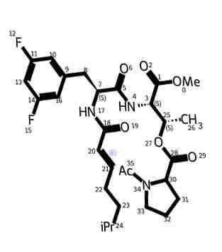 COC(=O)[C@@H](NC(=O)[C@H](Cc1cc(F)cc(F)c1)NC(=O)/C=C/CCC(C)C)[C@H](C)OC(=O)C1CCCN1C(C)=O